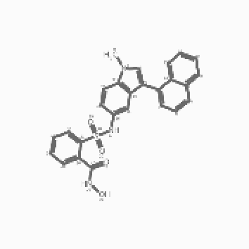 Cn1cc(-c2cccc3ccccc23)c2cc(NS(=O)(=O)c3ccccc3C(=O)NO)ccc21